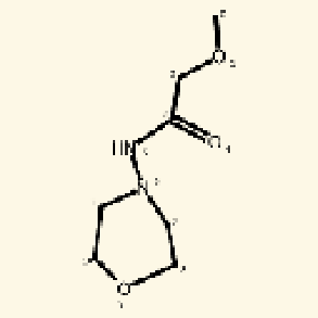 COCC(=O)NN1CCOCC1